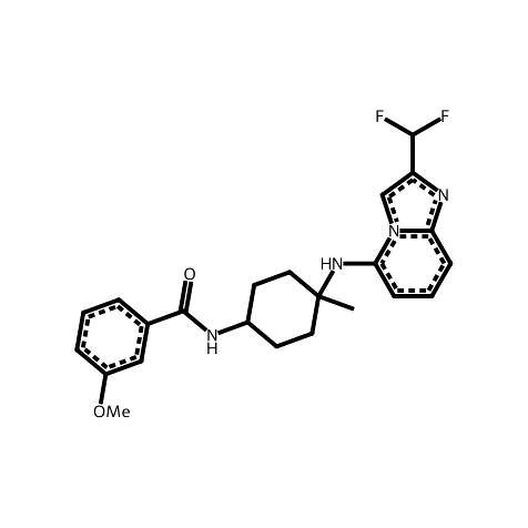 COc1cccc(C(=O)NC2CCC(C)(Nc3cccc4nc(C(F)F)cn34)CC2)c1